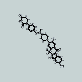 CCc1cc2c(cc1N1CCC(N(C)Cc3ccc(C4CCC(=O)NC4=O)cc3)CC1)C(C)(C)c1[nH]c3cc(C#N)ccc3c1C2=O